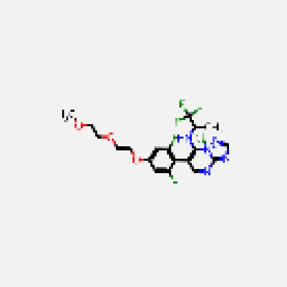 COCCOCCOc1cc(F)c(C2=C(NC(C)C(F)(F)F)[N+]3(Cl)N=CN=C3N=C2)c(F)c1